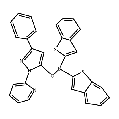 c1ccc(-c2cc(OB(c3cc4ccccc4s3)c3cc4ccccc4s3)n(-c3ccccn3)n2)cc1